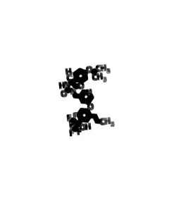 CCCc1cc(C(O)(C(F)(F)F)C(F)(F)F)ccc1Oc1cncc(CN2C(=O)NC(C)(c3ccc(OC(C)C)cc3)C2=O)c1